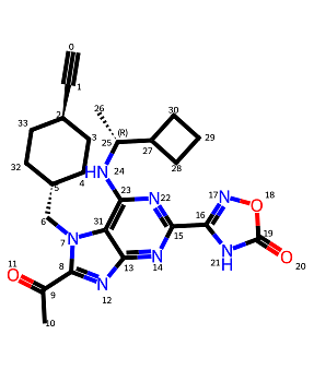 C#C[C@H]1CC[C@H](Cn2c(C(C)=O)nc3nc(-c4noc(=O)[nH]4)nc(N[C@H](C)C4CCC4)c32)CC1